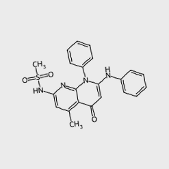 Cc1cc(NS(C)(=O)=O)nc2c1c(=O)cc(Nc1ccccc1)n2-c1ccccc1